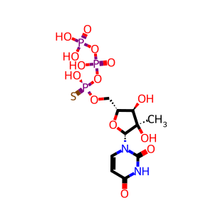 C[C@@]1(O)[C@H](O)[C@@H](CO[P@](O)(=S)OP(=O)(O)OP(=O)(O)O)O[C@H]1n1ccc(=O)[nH]c1=O